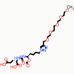 COCCOCCOCCOCCOCc1cn(CCCC[C@H](NC(=O)N[C@@H](CCC(=O)O)C(=O)O)OC=O)nn1